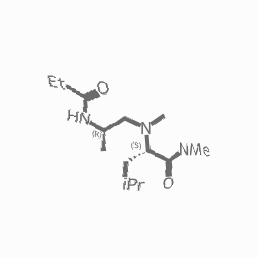 CCC(=O)N[C@H](C)CN(C)[C@@H](CC(C)C)C(=O)NC